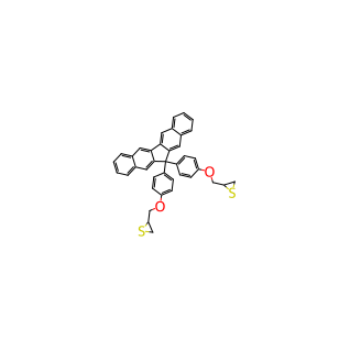 c1ccc2cc3c(cc2c1)-c1cc2ccccc2cc1C3(c1ccc(OCC2CS2)cc1)c1ccc(OCC2CS2)cc1